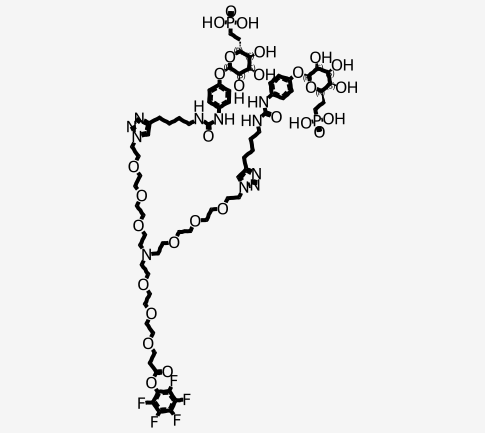 O=C(NCCCCc1cn(CCOCCOCCOCCN(CCOCCOCCOCCC(=O)Oc2c(F)c(F)c(F)c(F)c2F)CCOCCOCCOCCn2cc(CCCCNC(=O)Nc3ccc(O[C@H]4O[C@H](CCP(=O)(O)O)[C@@H](O)[C@H](O)[C@@H]4O)cc3)nn2)nn1)Nc1ccc(O[C@H]2O[C@H](CCP(=O)(O)O)[C@@H](O)[C@H](O)[C@@H]2O)cc1